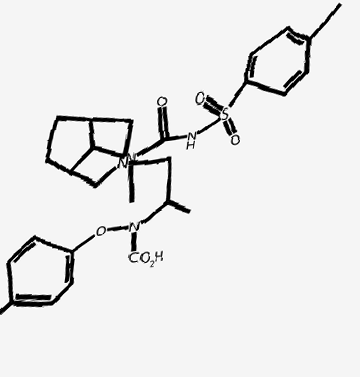 Cc1ccc(S(=O)(=O)NC(=O)N(C)C2C3CCC2CN(CC(C)N(Oc2ccc(C#N)cc2)C(=O)O)C3)cc1